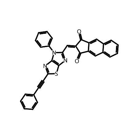 O=C1C(=Cc2nc3sc(C#Cc4ccccc4)nc3n2-c2ccccc2)C(=O)c2cc3ccccc3cc21